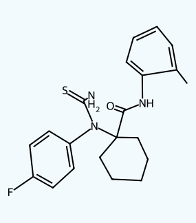 Cc1ccccc1NC(=O)C1(N(C(N)=S)c2ccc(F)cc2)CCCCC1